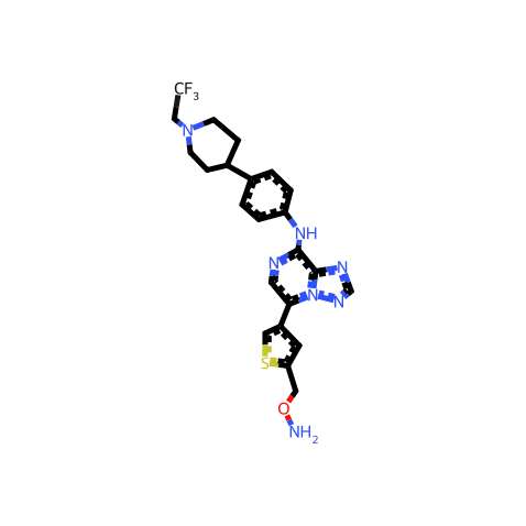 NOCc1cc(-c2cnc(Nc3ccc(C4CCN(CC(F)(F)F)CC4)cc3)c3ncnn23)cs1